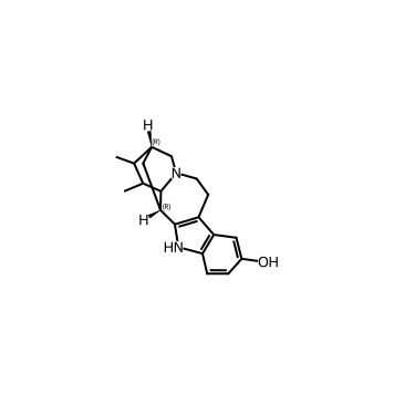 CC1C(C)[C@H]2C[C@H]3c4[nH]c5ccc(O)cc5c4CCN(C2)C13